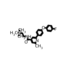 Cc1cc(C(=O)NCC[N+](C)(C)C)cc(-c2ccc(Oc3ccc(F)cc3)cc2)n1